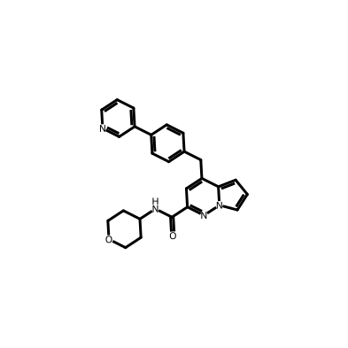 O=C(NC1CCOCC1)c1cc(Cc2ccc(-c3cccnc3)cc2)c2cccn2n1